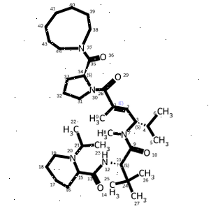 C/C(=C\[C@H](C(C)C)N(C)C(=O)[C@@H](NC(=O)C1CCCCN1C(C)C)C(C)(C)C)C(=O)N1CCC[C@H]1C(=O)N1CCCCCCC1